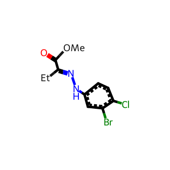 CC/C(=N\Nc1ccc(Cl)c(Br)c1)C(=O)OC